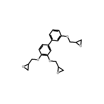 c1cc(OCC2CO2)cc(-c2ccc(OCC3CO3)c(OCC3CO3)c2)c1